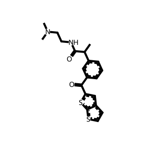 CC(C(=O)NCCN(C)C)c1cccc(C(=O)c2cc3ccsc3s2)c1